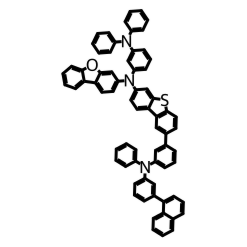 c1ccc(N(c2cccc(-c3ccc4sc5cc(N(c6cccc(N(c7ccccc7)c7ccccc7)c6)c6ccc7c(c6)oc6ccccc67)ccc5c4c3)c2)c2cccc(-c3cccc4ccccc34)c2)cc1